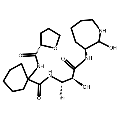 CC(C)[C@H](NC(=O)C1(NC(=O)[C@@H]2CCCO2)CCCCC1)[C@H](O)C(=O)N[C@H]1CCCCNC1O